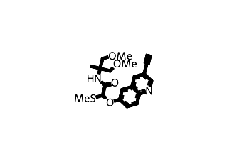 C#Cc1cnc2ccc(OC(SC)C(=O)NC(C)(COC)COC)cc2c1